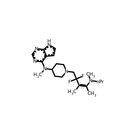 CCCN(C)/C(C)=C(/C)C(F)(F)CN1CCC(N(C)c2ncnc3[nH]ccc23)CC1